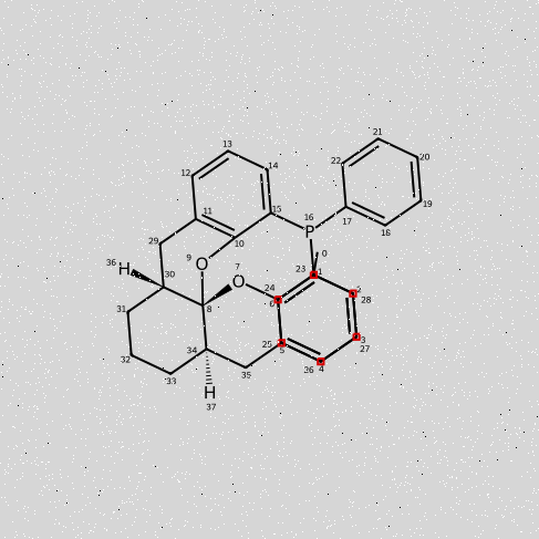 Cc1cccc2c1O[C@]13Oc4c(cccc4P(c4ccccc4)c4ccccc4)C[C@H]1CCC[C@@H]3C2